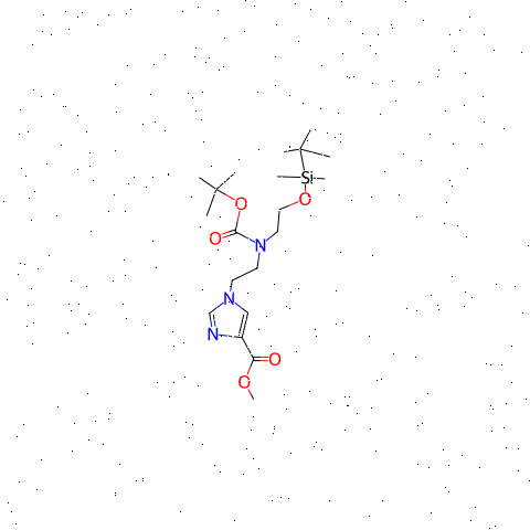 COC(=O)c1cn(CCN(CCO[Si](C)(C)C(C)(C)C)C(=O)OC(C)(C)C)cn1